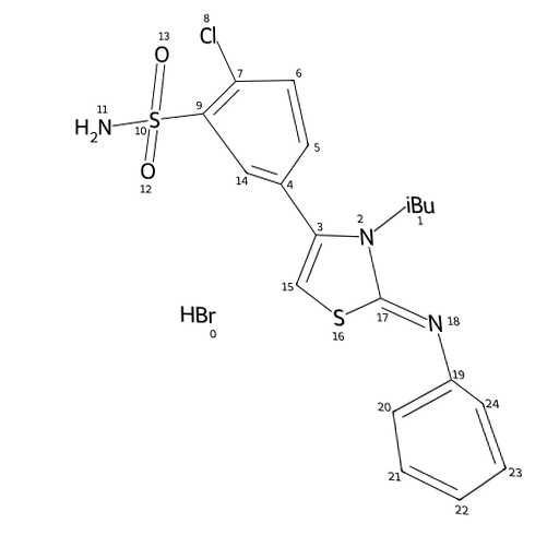 Br.CCC(C)n1c(-c2ccc(Cl)c(S(N)(=O)=O)c2)csc1=Nc1ccccc1